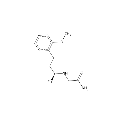 [2H][C@@H](CCc1ccccc1OC)NCC(N)=O